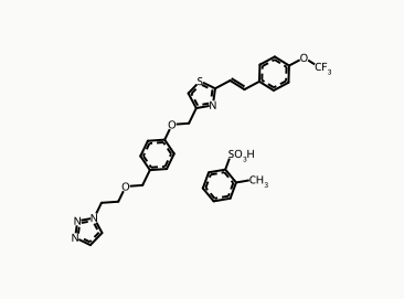 Cc1ccccc1S(=O)(=O)O.FC(F)(F)Oc1ccc(C=Cc2nc(COc3ccc(COCCn4ccnn4)cc3)cs2)cc1